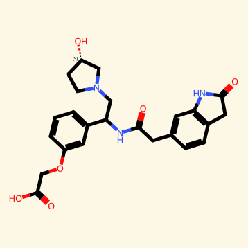 O=C(O)COc1cccc(C(CN2CC[C@H](O)C2)NC(=O)Cc2ccc3c(c2)NC(=O)C3)c1